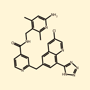 Cc1cc(N)nc(C)c1CNC(=O)c1ccnc(Cc2cc(-c3nnn[nH]3)c3ncc(Cl)cc3c2)c1